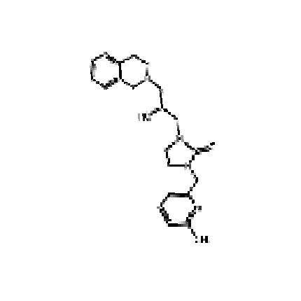 Cc1cccc(CN2CCN(CC(O)CN3CCc4ccccc4C3)C2=O)n1